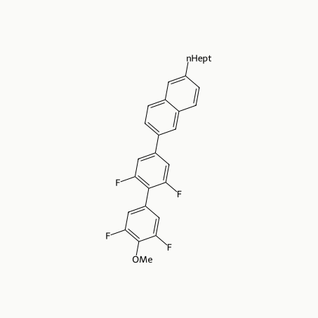 CCCCCCCc1ccc2cc(-c3cc(F)c(-c4cc(F)c(OC)c(F)c4)c(F)c3)ccc2c1